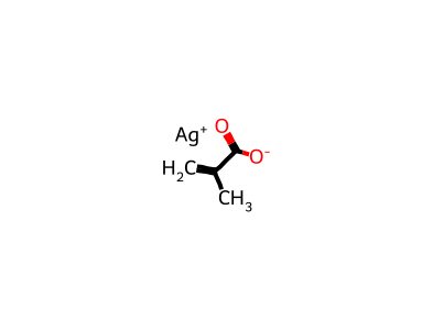 C=C(C)C(=O)[O-].[Ag+]